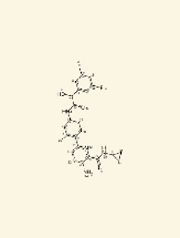 Cc1cc(NC(=O)C(O)c2cc(F)cc(F)c2)ccc1-c1cnc(N)c(C(=O)NC2CC2)n1